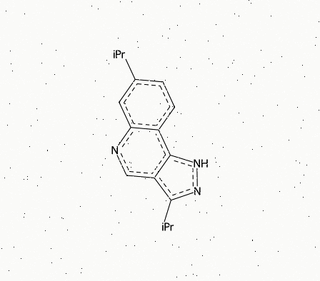 CC(C)c1ccc2c(c1)ncc1c(C(C)C)n[nH]c12